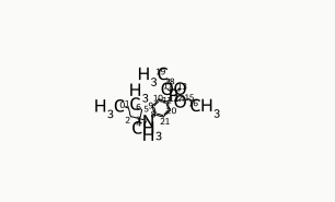 CCCC(C)(CC)Nc1ccc(P(=O)(OCC)OCC)cc1